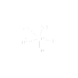 S[SH](S)(S)(S)S